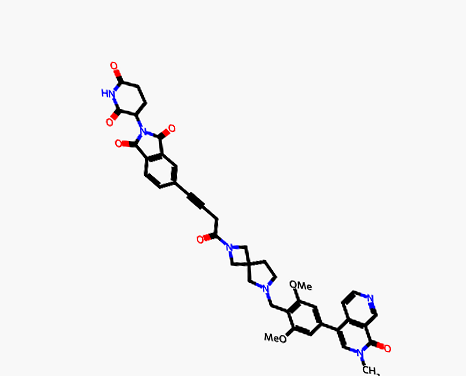 COc1cc(-c2cn(C)c(=O)c3cnccc23)cc(OC)c1CN1CCC2(C1)CN(C(=O)CC#Cc1ccc3c(c1)C(=O)N(C1CCC(=O)NC1=O)C3=O)C2